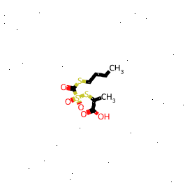 CCCCSC(=O)S(=O)(=O)SC(C)C(=O)O